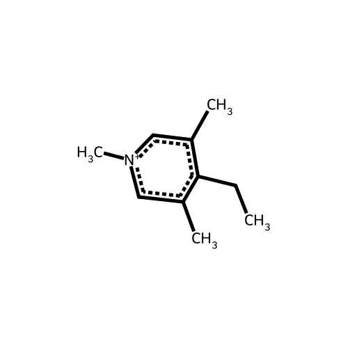 CCc1c(C)c[n+](C)cc1C